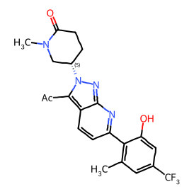 CC(=O)c1c2ccc(-c3c(C)cc(C(F)(F)F)cc3O)nc2nn1[C@H]1CCC(=O)N(C)C1